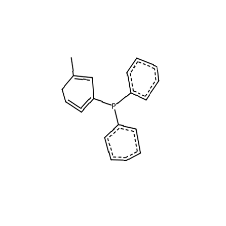 CC1=CC(P(c2ccccc2)c2ccccc2)=C=CC1